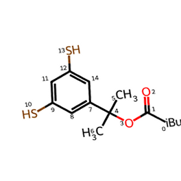 CCC(C)C(=O)OC(C)(C)c1cc(S)cc(S)c1